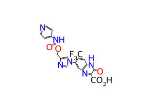 O=C(Nc1ccncc1)OCc1cn(-c2cc3nc(C(=O)O)c(=O)[nH]c3cc2C(F)(F)F)cn1